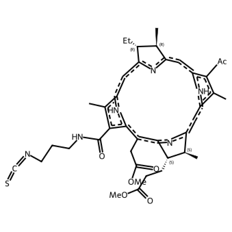 CC[C@H]1c2cc3[nH]c(c(CC(=O)OC)c4nc(cc5[nH]c(cc(n2)[C@@H]1C)c(C(C)=O)c5C)[C@@H](C)[C@@H]4CCC(=O)OC)c(C(=O)NCCCN=C=S)c3C